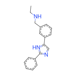 CCNCc1cccc(-c2cnc(-c3ccccc3)[nH]2)c1